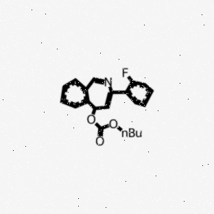 CCCCOC(=O)OC1C=C(c2ccccc2F)N=Cc2ccccc21